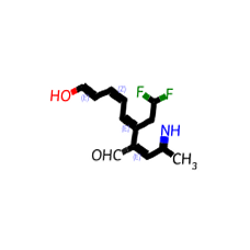 CC(=N)\C=C(C=O)/C(=C/C=C\C=C\O)CC(F)F